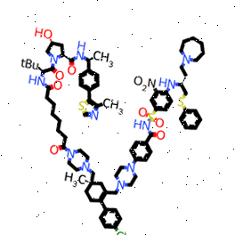 Cc1ncsc1-c1ccc([C@H](C)NC(=O)[C@@H]2C[C@@H](O)CN2C(=O)[C@@H](NC(=O)CCCCCCC(=O)N2CCN(C[C@]3(C)CCC(c4ccc(Cl)cc4)=C(CN4CCN(c5ccc(C(=O)NS(=O)(=O)c6ccc(N[C@H](CCN7CCCCCC7)CSc7ccccc7)c([N+](=O)[O-])c6)cc5)CC4)C3)CC2)C(C)(C)C)cc1